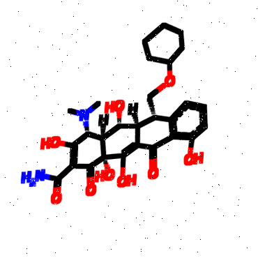 CN(C)[C@H]1C(O)=C(C(N)=O)C(=O)[C@]2(O)C(O)=C3C(=O)c4c(O)cccc4[C@@H](COC4CCCCC4)[C@@H]3[C@@H](O)[C@H]12